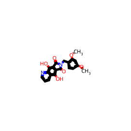 COc1ccc(CN2C(=O)c3c(c(O)c4ncccc4c3O)C2=O)c(OC)c1